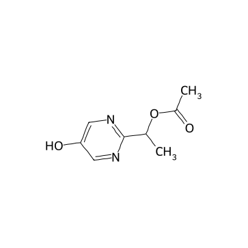 CC(=O)OC(C)c1ncc(O)cn1